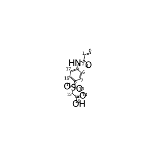 C=CC(=O)Nc1ccc(S(=O)(=O)CC(=O)O)cc1